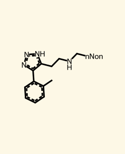 CCCCCCCCCCNCCc1[nH]nnc1-c1ccccc1C